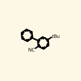 CC(C)(C)c1ccc(C#N)c(-c2ccccc2)c1